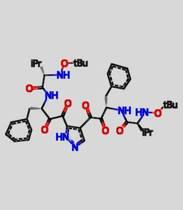 CC(C)[C@H](NOC(C)(C)C)C(=O)N[C@@H](Cc1ccccc1)C(=O)C(=O)c1cn[nH]c1C(=O)C(=O)[C@H](Cc1ccccc1)NC(=O)[C@@H](NOC(C)(C)C)C(C)C